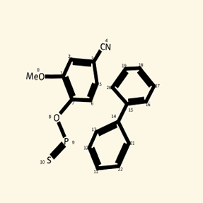 COc1cc(C#N)ccc1OP=S.c1ccc(-c2ccccc2)cc1